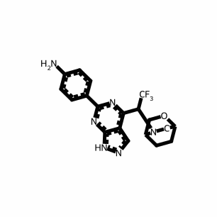 Nc1ccc(-c2nc(C(N3CC4CCC3CO4)C(F)(F)F)c3cn[nH]c3n2)cc1